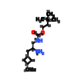 COC1CC(C[C@H](N)CNC(=O)OCC[Si](C)(C)C)C1